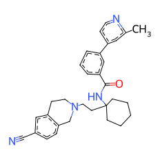 Cc1cc(-c2cccc(C(=O)NC3(CCN4CCc5cc(C#N)ccc5C4)CCCCC3)c2)ccn1